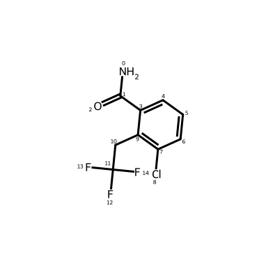 NC(=O)c1cccc(Cl)c1CC(F)(F)F